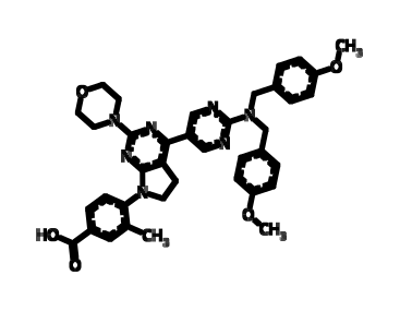 COc1ccc(CN(Cc2ccc(OC)cc2)c2ncc(-c3nc(N4CCOCC4)nc4c3CCN4c3ccc(C(=O)O)cc3C)cn2)cc1